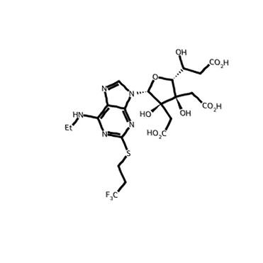 CCNc1nc(SCCC(F)(F)F)nc2c1ncn2[C@@H]1O[C@H](C(O)CC(=O)O)[C@](O)(CC(=O)O)[C@]1(O)CC(=O)O